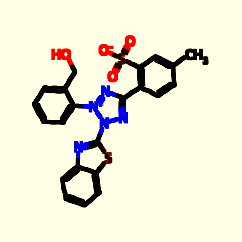 Cc1ccc(-c2nn(-c3nc4ccccc4s3)[n+](-c3ccccc3CO)n2)c(S(=O)(=O)[O-])c1